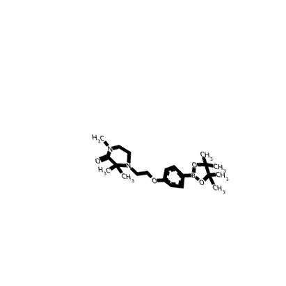 CN1CCN(CCOc2ccc(B3OC(C)(C)C(C)(C)O3)cc2)C(C)(C)C1=O